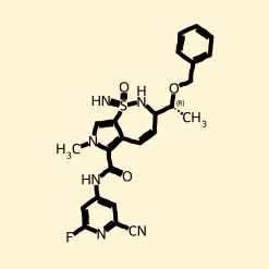 C[C@@H](OCc1ccccc1)C1C=Cc2c(cn(C)c2C(=O)Nc2cc(F)nc(C#N)c2)S(=N)(=O)N1